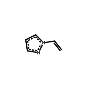 [CH]=Cn1cccn1